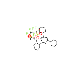 CS(=O)(=O)C(F)(F)C(F)(F)C(F)(F)S(=O)(=O)Oc1c(C2CCCCC2)cc(C2CCCCC2)cc1C1CCCCC1